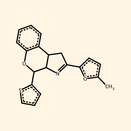 Cc1ccc(C2=NC3C(C2)c2ccccc2OC3c2cccs2)o1